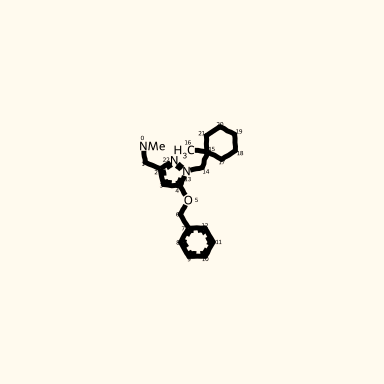 CNCc1cc(OCc2ccccc2)n(CC2(C)CCCCC2)n1